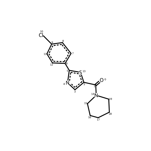 O=C(c1cnc(-c2ccc(Cl)cc2)s1)N1CCCCC1